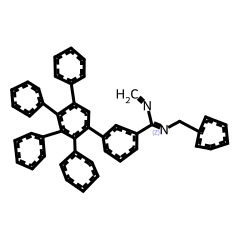 C=N/C(=N\Cc1ccccc1)c1cccc(-c2cc(-c3ccccc3)c(-c3ccccc3)c(-c3ccccc3)c2-c2ccccc2)c1